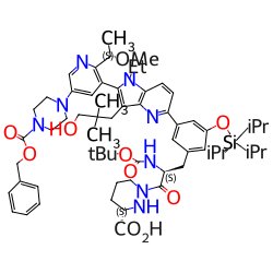 CCn1c(-c2cc(N3CCN(C(=O)OCc4ccccc4)CC3)cnc2[C@H](C)OC)c(CC(C)(C)CO)c2nc(-c3cc(C[C@H](NC(=O)OC(C)(C)C)C(=O)N4CCC[C@@H](C(=O)O)N4)cc(O[Si](C(C)C)(C(C)C)C(C)C)c3)ccc21